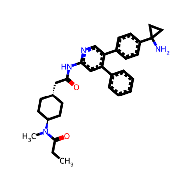 CCC(=O)N(C)[C@H]1CC[C@H](CC(=O)Nc2cc(-c3ccccc3)c(-c3ccc(C4(N)CC4)cc3)cn2)CC1